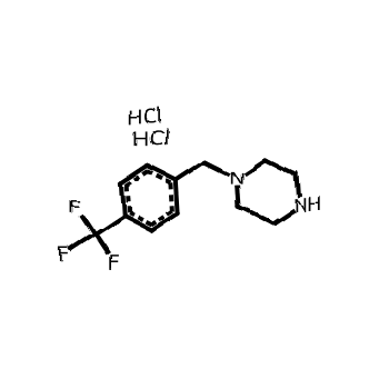 Cl.Cl.FC(F)(F)c1ccc(CN2CCNCC2)cc1